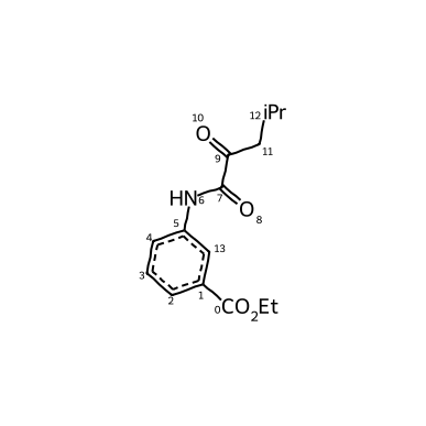 CCOC(=O)c1cccc(NC(=O)C(=O)CC(C)C)c1